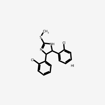 CSC1=NC(c2ccccc2Cl)C(c2ccccc2Cl)N1.I